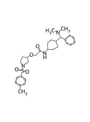 Cc1ccc(S(=O)(=O)N2CCC(OCC(=O)NC3CCC(C(c4ccccc4)N(C)C)CC3)C2)cc1